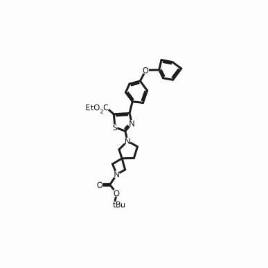 CCOC(=O)c1sc(N2CCC3(CN(C(=O)OC(C)(C)C)C3)C2)nc1-c1ccc(Oc2ccccc2)cc1